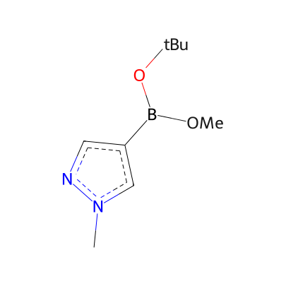 COB(OC(C)(C)C)c1cnn(C)c1